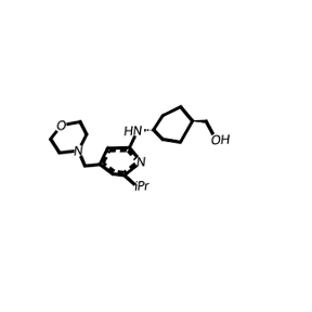 CC(C)c1cc(CN2CCOCC2)cc(N[C@H]2CC[C@H](CO)CC2)n1